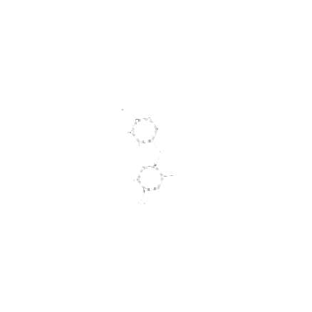 CCCc1ccc(Nc2ccc([N+](=O)[O-])cc2C(=O)O)cc1